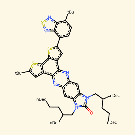 CCCCCCCCCCCCC(CCCCCCCCCC)Cn1c(=O)n(CC(CCCCCCCCCC)CCCCCCCCCCCC)c2cc3nc4c5cc(C(C)(C)C)sc5c5sc(-c6ccc(C(C)(C)C)c7nsnc67)cc5c4nc3cc21